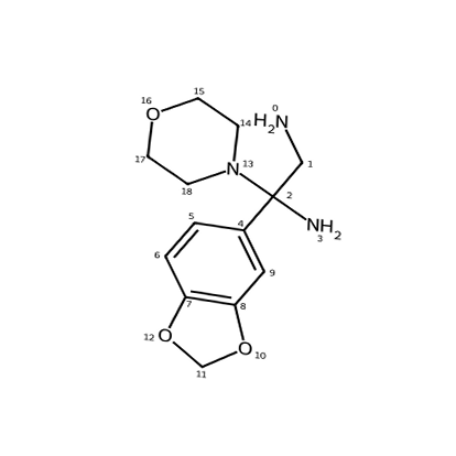 NCC(N)(c1ccc2c(c1)OCO2)N1CCOCC1